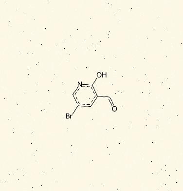 O=Cc1cc(Br)cnc1O